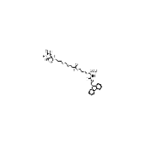 O=C(CCSCCCCC[C@@H]1SC[C@@H]2NC(=O)N[C@@H]21)NCCCC[C@H](NC(=O)OCC1c2ccccc2-c2ccccc21)C(=O)O